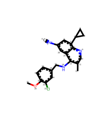 [C-]#[N+]c1cc(C2CC2)c2ncc(C)c(NCc3ccc(OC)c(Cl)c3)c2c1